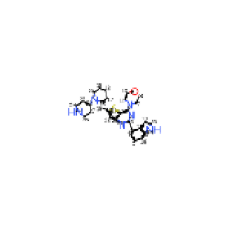 c1cc(-c2nc(N3CCOCC3)c3sc(C[C@H]4CCCCN4C4CCNCC4)cc3n2)c2cc[nH]c2c1